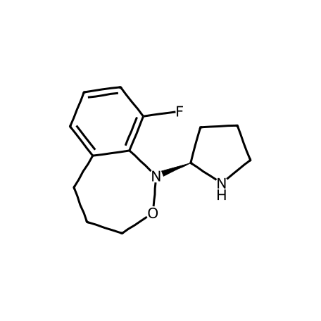 Fc1cccc2c1N([C@H]1CCCN1)OCCC2